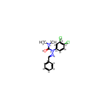 CN(C)C(=O)N(N=Cc1ccccc1)c1ccc(Cl)c(Cl)c1